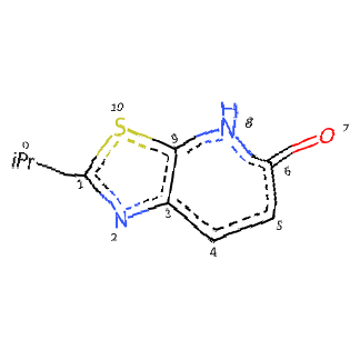 CC(C)c1nc2ccc(=O)[nH]c2s1